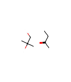 CC(C)(O)CO.CCC(C)=O